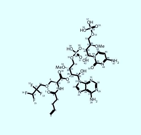 C=CCCC(=O)N[C@@H](COCC(F)(F)C(F)F)C(=O)O[C@@H]([C@@H](O)n1cnc2c(N)ncnc21)[C@@H](COP(=O)(O)O[C@@H]([C@@H](O)n1ccc(N)nc1=O)[C@@H](COP(=O)(O)O)OC)OC